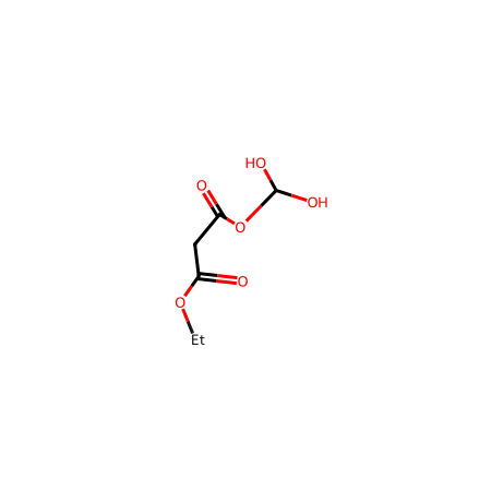 CCOC(=O)CC(=O)OC(O)O